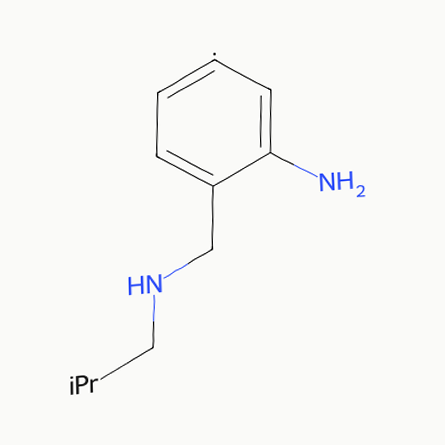 CC(C)CNCc1cc[c]cc1N